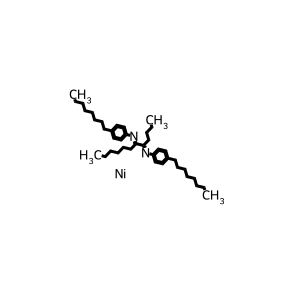 CCCCCCCCc1ccc(/N=C(CCCC)/C(CCCCCC)=N/c2ccc(CCCCCCCC)cc2)cc1.[Ni]